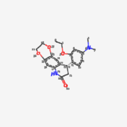 CCOc1cc(N(C)C)ccc1[C@@H]1CC(=O)Nc2cc3c(cc21)OCCO3